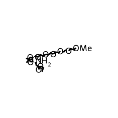 COCCOCCOCCOCCOCCOC[C@@H]1OC(C)(C)O[C@H]1C(N)CC1OCCO1